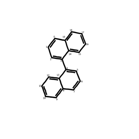 [c]1ccc(-c2cc[c]c3ccccc23)c2ccccc12